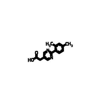 Cc1ccc(-c2ncc(CC(=O)O)cn2)c(C)c1